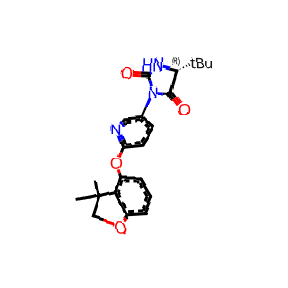 CC1(C)COc2cccc(Oc3ccc(N4C(=O)N[C@H](C(C)(C)C)C4=O)cn3)c21